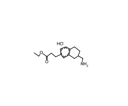 CCOC(=O)CCc1ccc2c(c1)CC(CN)CC2.Cl